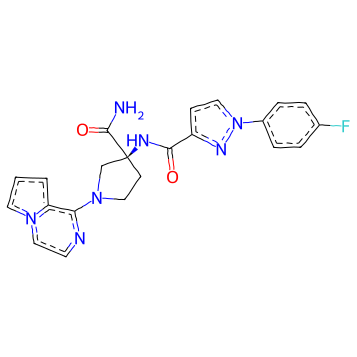 NC(=O)[C@]1(NC(=O)c2ccn(-c3ccc(F)cc3)n2)CCN(c2nccn3cccc23)C1